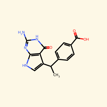 CC(c1ccc(C(=O)O)cc1)c1c[nH]c2nc(N)[nH]c(=O)c12